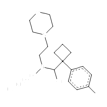 CC(N(C)CCN1CCOCC1)C1(c2ccc(Cl)cc2)CCC1.Cl.Cl.O